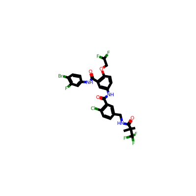 CC(C)(C(=O)NCc1ccc(Cl)c(C(=O)Nc2ccc(OCC(F)F)c(C(=O)Nc3ccc(Br)c(F)c3)c2)c1)C(F)(F)F